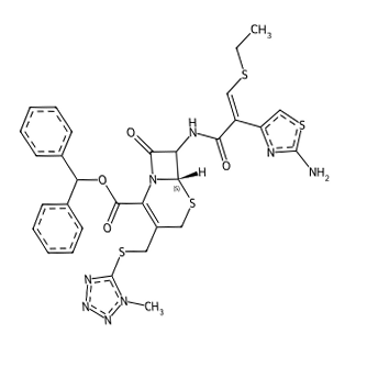 CCSC=C(C(=O)NC1C(=O)N2C(C(=O)OC(c3ccccc3)c3ccccc3)=C(CSc3nnnn3C)CS[C@@H]12)c1csc(N)n1